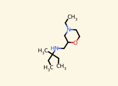 CCN1CCOC(CNC(C)(CC)CC)C1